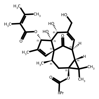 CCCC(=O)O[C@@]12C[C@@H](C)[C@]34C=C(C)[C@H](OC(=O)C(C)=C(C)C)[C@@]3(O)[C@H](O)C(CO)=C[C@H](C4=O)[C@@H]1C2(C)C